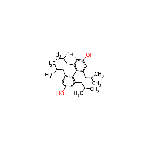 CC(C)Cc1cc(O)cc(CC(C)C)c1-c1c(CC(C)C)cc(O)cc1CC(C)C